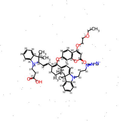 CCOCCOc1cc(=O)oc2cc(OC3=C(/C=C/C4=[N+](CCC(=O)O)c5ccccc5C4(C)C)CCC/C3=C\C=C3\N(CCCN=[N+]=[N-])c4ccccc4C3(C)C)ccc12